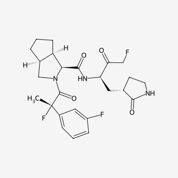 C[C@@](F)(C(=O)N1C[C@H]2CCC[C@H]2[C@H]1C(=O)N[C@H](C[C@@H]1CCNC1=O)C(=O)CF)c1cccc(F)c1